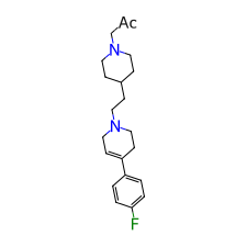 CC(=O)CN1CCC(CCN2CC=C(c3ccc(F)cc3)CC2)CC1